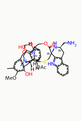 COc1c(C)cc2c(c1O)[C@H]1[C@@H]3[C@@H]4SC[C@]5(N[C@@H](CN)Cc6c5[nH]c5ccccc65)C(=O)OC[C@@H](c5c6c(c(C)c(OC(C)=O)c54)OCO6)N3C(O)(C2)CN1C